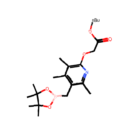 CCCCOC(=O)COc1nc(C)c(CB2OC(C)(C)C(C)(C)O2)c(C)c1C